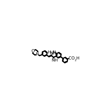 N=C(/C(N)=C/c1cccc(CN2CCOCC2)c1)c1cc(-c2cccc(C(=O)O)c2)ccc1N